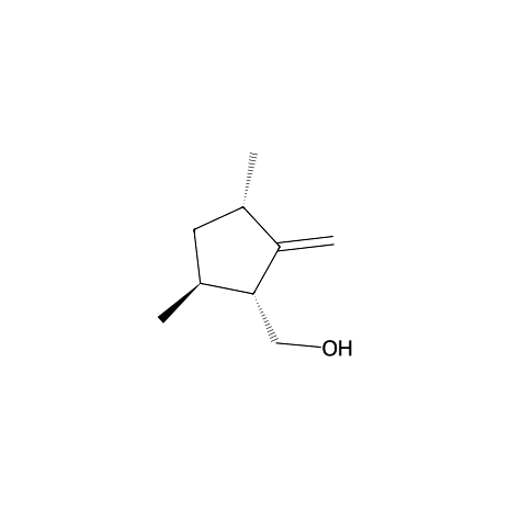 C=C1[C@@H](C)C[C@H](C)[C@H]1CO